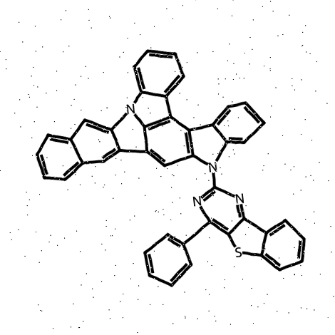 c1ccc(-c2nc(-n3c4ccccc4c4c5c6ccccc6n6c7cc8ccccc8cc7c(cc43)c56)nc3c2sc2ccccc23)cc1